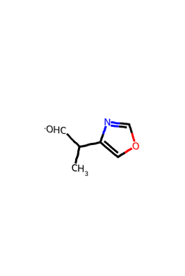 CC([C]=O)c1cocn1